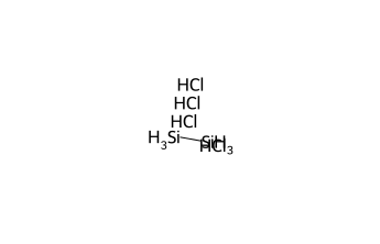 Cl.Cl.Cl.Cl.[SiH3][SiH3]